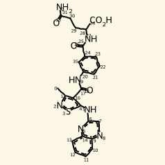 Cc1nsc(Nc2cnc3ccccc3n2)c1C(=O)Nc1cccc(C(=O)NC(CCC(N)=O)C(=O)O)c1